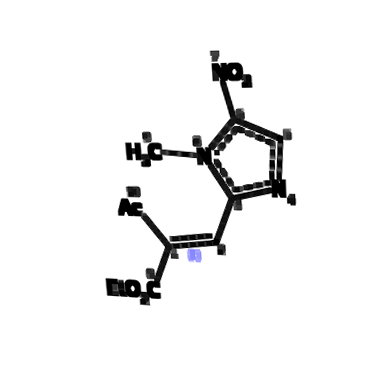 CCOC(=O)/C(=C/c1ncc([N+](=O)[O-])n1C)C(C)=O